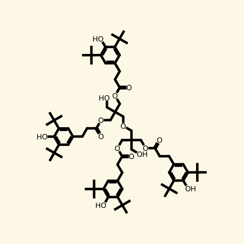 CC(C)(C)c1cc(CCC(=O)OCC(CO)(COCC(CO)(COC(=O)CCc2cc(C(C)(C)C)c(O)c(C(C)(C)C)c2)COC(=O)CCc2cc(C(C)(C)C)c(O)c(C(C)(C)C)c2)COC(=O)CCc2cc(C(C)(C)C)c(O)c(C(C)(C)C)c2)cc(C(C)(C)C)c1O